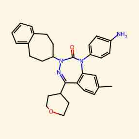 Cc1ccc2c(c1)N(c1ccc(N)cc1)C(=O)N(C1CCc3ccccc3CC1)N=C2C1CCOCC1